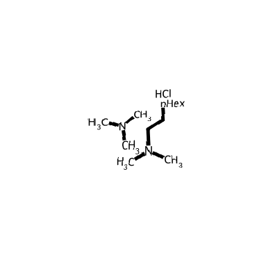 CCCCCCCCN(C)C.CN(C)C.Cl